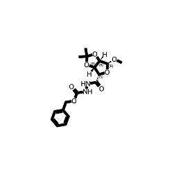 CO[C@@H]1O[C@H](C(=O)NNC(=O)OCc2ccccc2)[C@@H]2OC(C)(C)O[C@@H]12